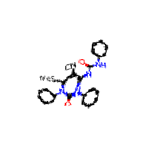 CSc1c(C#N)c(=NC(=O)Nc2ccccc2)n(-c2ccccc2)c(=O)n1-c1ccccc1